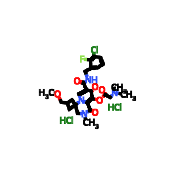 COCC1CC2(C1)CN(C)C(=O)c1c(OC(=O)CN(C)C)c(=O)c(C(=O)NCc3cccc(Cl)c3F)cn12.Cl.Cl